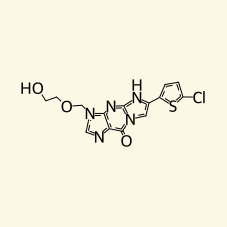 O=c1c2ncn(COCCO)c2nc2[nH]c(-c3ccc(Cl)s3)cn12